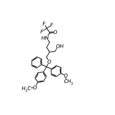 COc1ccc(C(OCC(CO)CCNC(=O)C(F)(F)F)(c2ccccc2)c2ccc(OC)cc2)cc1